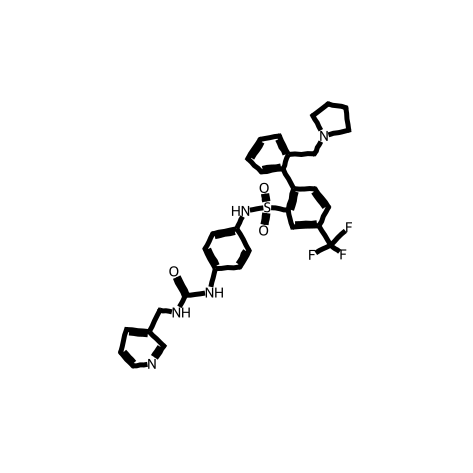 O=C(NCc1cccnc1)Nc1ccc(NS(=O)(=O)c2cc(C(F)(F)F)ccc2-c2ccccc2CN2CCCC2)cc1